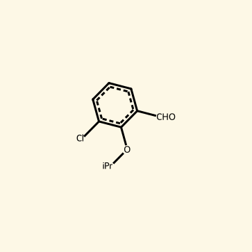 CC(C)Oc1c(Cl)cccc1C=O